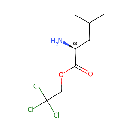 CC(C)C[C@H](N)C(=O)OCC(Cl)(Cl)Cl